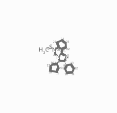 CSN1CN2C(=N[C@H](c3ccccc3)[C@H]2c2ccccc2)c2ccccc21